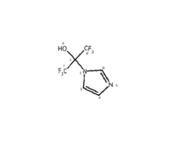 OC(n1ccnc1)(C(F)(F)F)C(F)(F)F